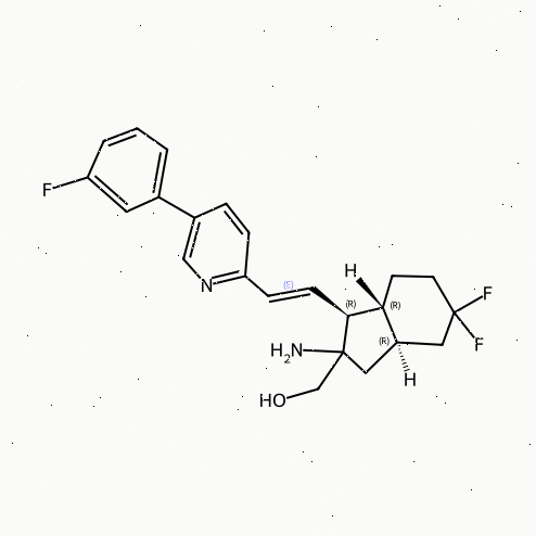 NC1(CO)C[C@@H]2CC(F)(F)CC[C@H]2[C@@H]1/C=C/c1ccc(-c2cccc(F)c2)cn1